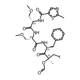 COC[C@H](NC(=O)c1cnc(C)s1)C(=O)N[C@@H](COC)C(=O)N[C@@H](Cc1ccccc1)C(=O)[C@@](C)(CI)OC=O